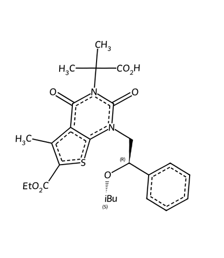 CCOC(=O)c1sc2c(c1C)c(=O)n(C(C)(C)C(=O)O)c(=O)n2C[C@H](O[C@@H](C)CC)c1ccccc1